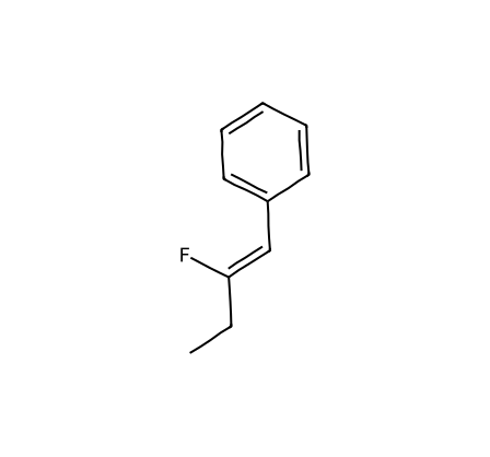 CCC(F)=Cc1ccccc1